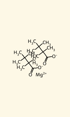 CC(C)(C)C(C)(C)C(=O)[O-].CC(C)(C)C(C)(C)C(=O)[O-].[Mg+2]